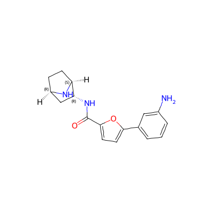 Nc1cccc(-c2ccc(C(=O)N[C@@H]3C[C@H]4CC[C@@H]3N4)o2)c1